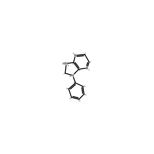 b1ccbc2c1NCN2c1ccccc1